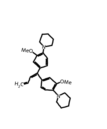 C=CC=C(c1ccc(N2CCCCC2)c(OC)c1)c1ccc(N2CCCCC2)c(OC)c1